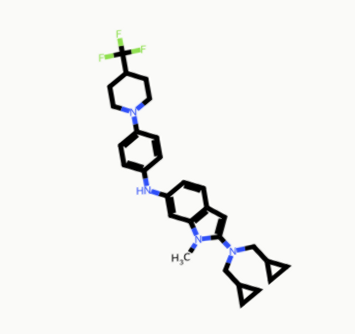 Cn1c(N(CC2CC2)CC2CC2)cc2ccc(Nc3ccc(N4CCC(C(F)(F)F)CC4)cc3)cc21